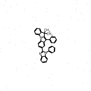 CC1(C)c2ccccc2-n2c1c(-c1ccccc1)c1cc(-c3nc4ccccc4n3-c3ccccc3)ccc12